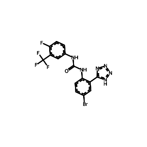 O=C(Nc1ccc(F)c(C(F)(F)F)c1)Nc1ccc(Br)cc1-c1nnn[nH]1